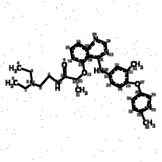 CCN(CC)CCNC(=O)[C@@H](C)Oc1cccc2ncnc(Nc3ccc(Oc4ccc(C)nc4)c(C)c3)c12